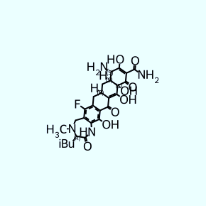 CCC(C)[C@@H]1C(=O)Nc2c(O)c3c(c(F)c2CN1C)C[C@H]1C[C@H]2[C@H](N)C(O)=C(C(N)=O)C(=O)[C@@]2(O)C(O)=C1C3=O